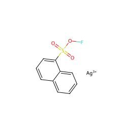 O=S(=O)(OF)c1cccc2ccccc12.[Ag+3]